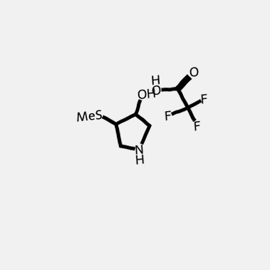 CSC1CNCC1O.O=C(O)C(F)(F)F